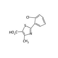 Cc1nc(-c2ccccc2Cl)sc1C(=O)O